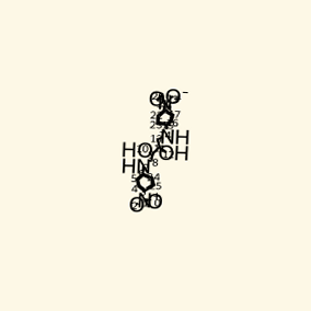 O=[N+]([O-])c1ccc(NCC(O)C(O)CNc2ccc([N+](=O)[O-])cc2)cc1